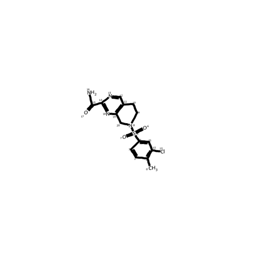 Cc1ccc(S(=O)(=O)N2CCc3[c]nc(C(N)=O)nc3C2)cc1Cl